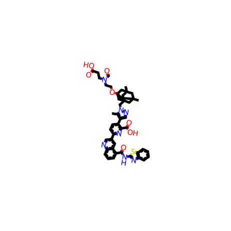 Cc1c(-c2ccc(-c3cnc4cccc(C(=O)Nc5nc6ccccc6s5)c4c3)nc2C(=O)O)cnn1CC12CC3(C)CC(C)(C1)CC(OCCN(C=O)CCC(=O)O)(C3)C2